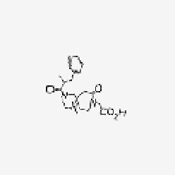 CC(Cc1ccccc1)C(=O)N1CCN(C)C2(CCC(=O)N(CC(=O)O)CC2)C1